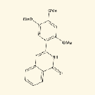 COc1cc(OC)c(-c2cc3ccccc3c(=O)[nH]2)cc1OC